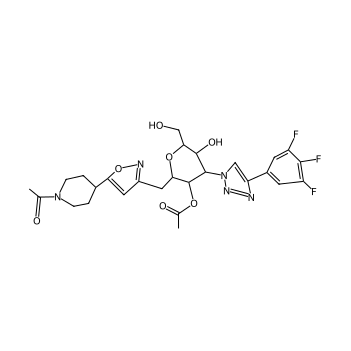 CC(=O)OC1C(Cc2cc(C3CCN(C(C)=O)CC3)on2)OC(CO)C(O)C1n1cc(-c2cc(F)c(F)c(F)c2)nn1